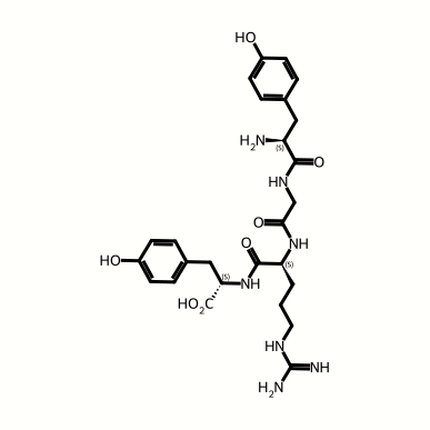 N=C(N)NCCC[C@H](NC(=O)CNC(=O)[C@@H](N)Cc1ccc(O)cc1)C(=O)N[C@@H](Cc1ccc(O)cc1)C(=O)O